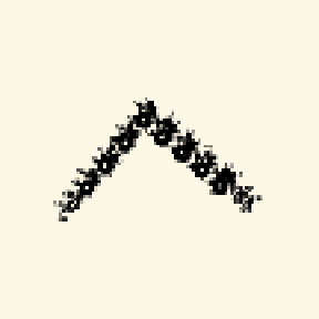 CC1=[N+](C)c2c(C)cccc2C1(C)C.CC1=[N+](C)c2c(C)cccc2C1(C)C.CC1=[N+](C)c2c(C)cccc2C1(C)C.CC1=[N+](C)c2c(C)cccc2C1(C)C.CC1=[N+](C)c2c(C)cccc2C1(C)C.CC1=[N+](C)c2c(C)cccc2C1(C)C.CC1=[N+](C)c2c(C)cccc2C1(C)C.CC1=[N+](C)c2c(C)cccc2C1(C)C.[O-]B([O-])F.[O-]B([O-])F.[O-]B([O-])F.[O-]B([O-])F